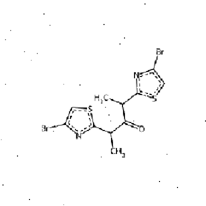 CC(C(=O)C(C)c1nc(Br)cs1)c1nc(Br)cs1